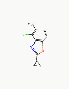 O=[N+]([O-])c1ccc2oc(C3CC3)nc2c1Cl